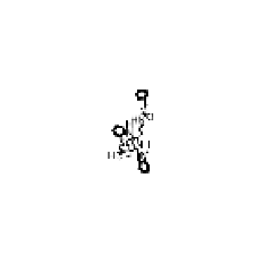 Cn1c(C(=O)N[C@@H](CCCNC(=O)OCc2ccccc2)C(=O)Nc2ccccc2SCC(=O)O)cc2ccccc21